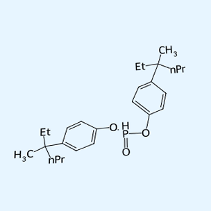 CCCC(C)(CC)c1ccc(O[PH](=O)Oc2ccc(C(C)(CC)CCC)cc2)cc1